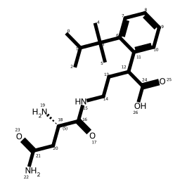 CC(C)C(C)(C)c1ccccc1C(CCNC(=O)[C@@H](N)CC(N)=O)C(=O)O